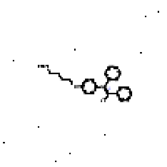 CCNCCCCOc1ccc(/C(=C(\Cl)c2ccccc2)c2ccccc2)cc1